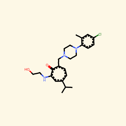 Cc1cc(Cl)ccc1N1CCN(Cc2ccc(C(C)C)cc(NCCO)c2=O)CC1